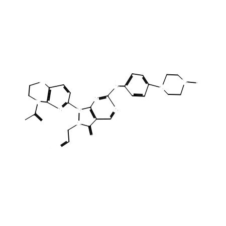 C=CCn1c(=O)c2cnc(Nc3ccc(N4CCN(C)CC4)cc3)nc2n1-c1ccc2c(n1)N(C(=O)CC)CCO2